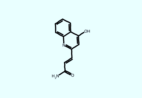 NC(=O)C=Cc1cc(O)c2ccccc2n1